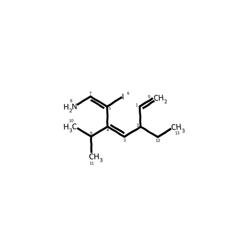 C=CC(/C=C(\C(I)=C/N)C(C)C)CC